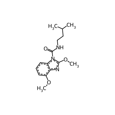 COc1cccc2c1nc(OC)n2C(=O)NCCC(C)C